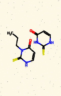 CCCn1c(=O)cc[nH]c1=S.O=c1cc[nH]c(=S)[nH]1